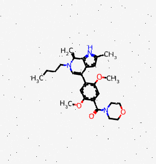 C=C1c2[nH]c(C)cc2C(c2cc(OC)c(C(=O)N3CCOCC3)cc2OC)=CN1CCCC